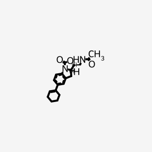 CC(=O)NC[C@@H]1OC(=O)N2c3ccc(C4=CCCCC4)cc3C[C@@H]12